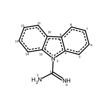 N=C(N)n1c2ccccc2c2ccccc21